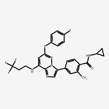 Cc1cc(-c2cnc3c(NCCC(F)(F)F)cc(Sc4ccc(F)cc4)nn23)ccc1C(=O)NC1CC1